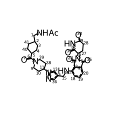 CC(=O)NCC1CCC(C(=O)N2CCC(n3cc(CNc4cccc5c4C(=O)N(C4CCC(=O)NC4=O)C5=O)cn3)CC2)CC1